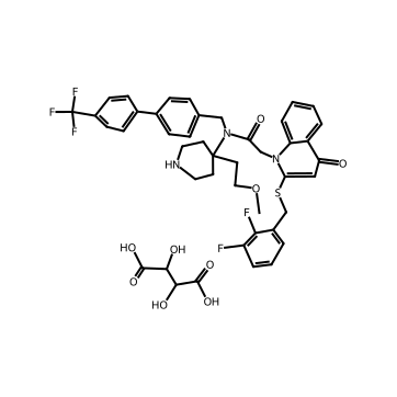 COCCC1(N(Cc2ccc(-c3ccc(C(F)(F)F)cc3)cc2)C(=O)Cn2c(SCc3cccc(F)c3F)cc(=O)c3ccccc32)CCNCC1.O=C(O)C(O)C(O)C(=O)O